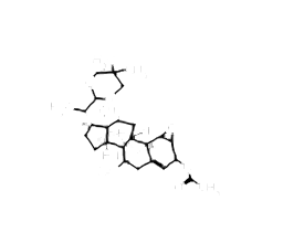 CC(=O)OC1C=C2CC(O)[C@H]3[C@@H]4CC[C@H](C(C)C5OCC(C)(C)CO5)[C@@]4(C)CC[C@@H]3[C@@]2(C)C2OC12